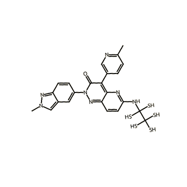 Cc1ccc(-c2c(=O)n(-c3ccc4nn(C)cc4c3)nc3ccc(NC(S)(S)C(S)(S)S)nc23)cn1